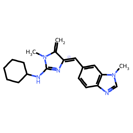 C=c1/c(=C/c2ccc3ncn(C)c3c2)nc(NC2CCCCC2)n1C